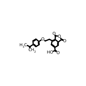 C=C(C)c1ccc(OCCc2cc(C(=O)O)cc3c2C(=O)OC3=O)cc1